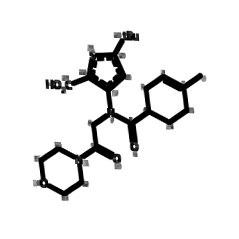 CC1=CCC(C(=O)N(CC(=O)N2CCOCC2)c2cc(C(C)(C)C)sc2C(=O)O)CC1